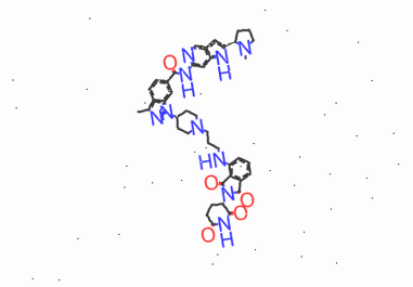 Cc1nn(C2CCN(CCCNc3cccc4c3C(=O)N(C3CCC(=O)NC3=O)C4=O)CC2)c2cc(C(=O)Nc3cc4[nH]c([C@H]5CCCN5C)cc4cn3)ccc12